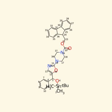 CC(C)(C)[Si](C)(C)OC(c1ccccc1)c1cnc(N2CCN(C(=O)OCC3c4ccccc4-c4ccccc43)CC2)o1